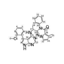 COc1ccccc1-c1c[nH]c2ncnc(NC(C)c3nn4ccc(C)c4c(=O)n3-c3ccccc3)c12